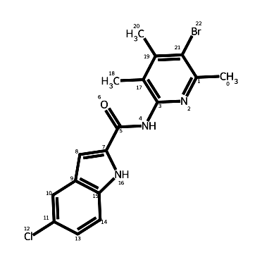 Cc1nc(NC(=O)c2cc3cc(Cl)ccc3[nH]2)c(C)c(C)c1Br